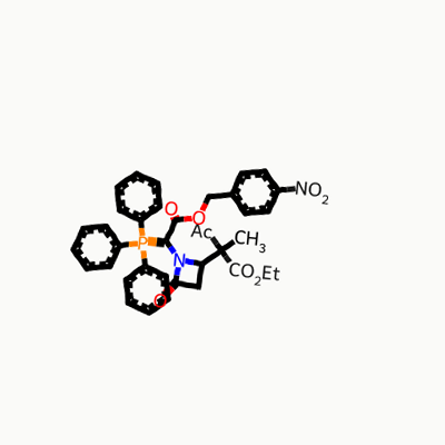 CCOC(=O)C(C)(C(C)=O)C1CC(=O)N1C(C(=O)OCc1ccc([N+](=O)[O-])cc1)=P(c1ccccc1)(c1ccccc1)c1ccccc1